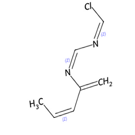 C=C(/C=C\C)/N=C\N=C/Cl